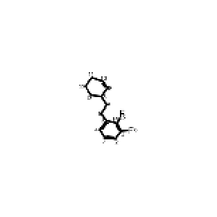 Fc1cccc(CCC2C=CCCC2)c1F